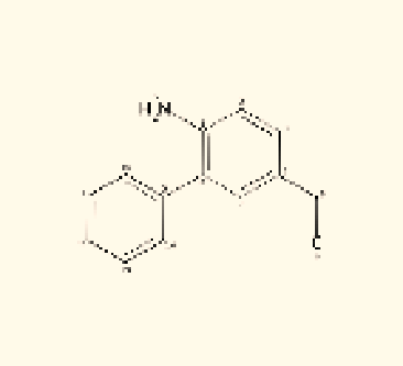 Nc1ccc(CCl)cc1-c1ccccc1